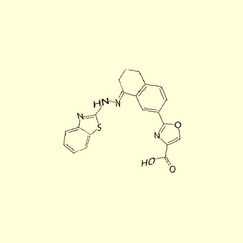 O=C(O)c1coc(-c2ccc3c(c2)C(=NNc2nc4ccccc4s2)CCC3)n1